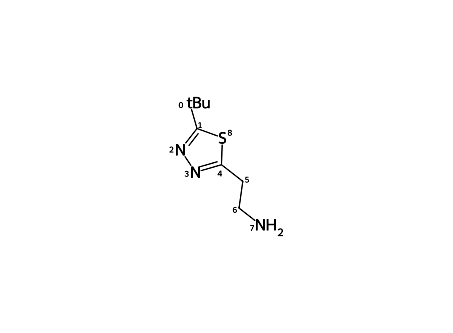 CC(C)(C)c1nnc(CCN)s1